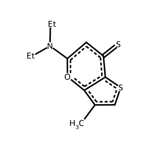 CCN(CC)c1cc(=S)c2scc(C)c2o1